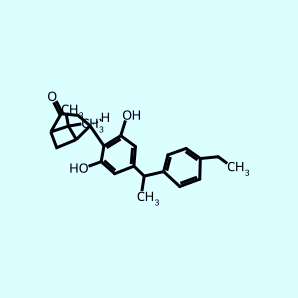 CCc1ccc(C(C)c2cc(O)c([C@@H]3CC(=O)C4CC3C4(C)C)c(O)c2)cc1